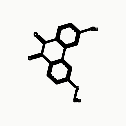 CC(C)(C)Sc1ccc2c(c1)-c1cc(C(C)(C)C)ccc1C(=O)C2=O